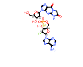 Nc1ncnc2c1ncn2[C@@H]1O[C@H](COP(=O)(S)O[C@@H]2[C@H](O)[C@@H](CO)O[C@H]2n2cnc3c(=O)n4c(nc32)NC(=O)C4)[C@@H](O)[C@@H]1F